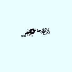 CO[Si](C)(OC)OCCOc1ccc(C(C)(C)CC(C)(C)C)cc1